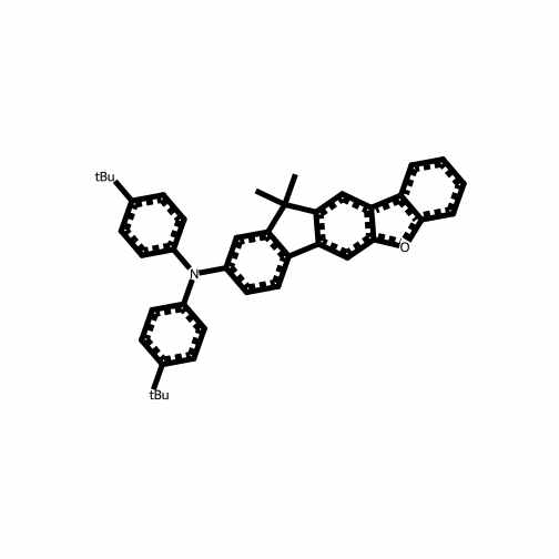 CC(C)(C)c1ccc(N(c2ccc(C(C)(C)C)cc2)c2ccc3c(c2)C(C)(C)c2cc4c(cc2-3)oc2ccccc24)cc1